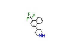 FC(F)(F)c1ccc(C2CCNCC2)c2ccccc12